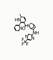 CC1C=CC(C(=O)N2CC3CC(Nc4cnc(C(F)(F)F)cn4)C2C3)=C(c2ccccn2)N1